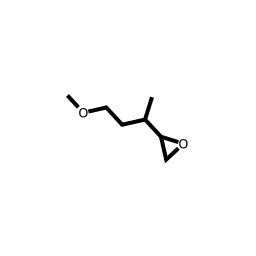 COCCC(C)C1CO1